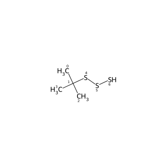 CC(C)(C)SSS